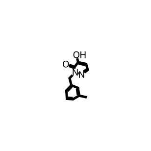 Cc1cccc(Cn2nccc(O)c2=O)c1